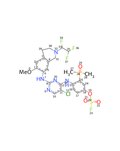 COc1cc2c(cc1Nc1ncc(Cl)c(Nc3ccc(OS(=O)(=O)F)cc3P(C)(C)=O)n1)CN(C(F)C(F)F)CC2